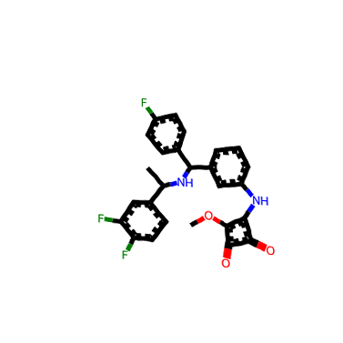 COc1c(Nc2cccc(C(NC(C)c3ccc(F)c(F)c3)c3ccc(F)cc3)c2)c(=O)c1=O